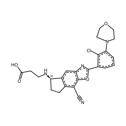 N#Cc1c2c(cc3nc(-c4cccc(N5CCOCC5)c4Cl)oc13)[C@H](NCCC(=O)O)CC2